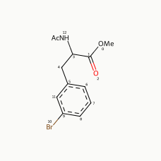 COC(=O)C(Cc1cccc(Br)c1)NC(C)=O